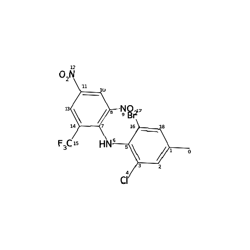 Cc1cc(Cl)c(Nc2c([N+](=O)[O-])cc([N+](=O)[O-])cc2C(F)(F)F)c(Br)c1